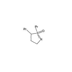 CC(C)C1CCN=S1(=O)C(C)C